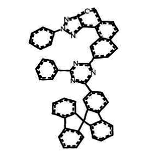 c1ccc(-c2nc(-c3ccc4c(c3)C3(c5ccccc5-c5ccccc53)c3ccccc3-4)nc(-c3ccc4ccc5ccc6nn(-c7ccccc7)nc6c5c4c3)n2)cc1